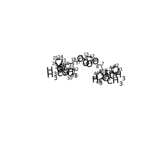 CC(C)(C)[Si](CCCCOC(=O)/C=C\C(=O)OCCCC[Si](c1ccccc1)(c1ccccc1)C(C)(C)C)(c1ccccc1)c1ccccc1